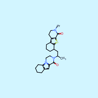 CC(C)N1CCc2c(sc3c2CCCC3CC(C)N2CCn3c(cc4c3CCCC4)C2=O)C1=O